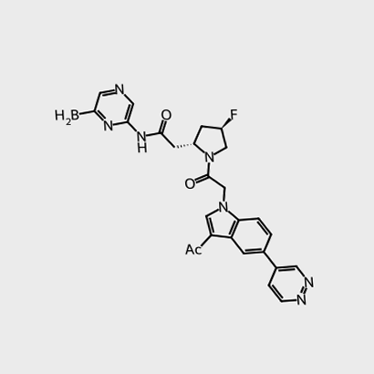 Bc1cncc(NC(=O)C[C@@H]2C[C@@H](F)CN2C(=O)Cn2cc(C(C)=O)c3cc(-c4ccnnc4)ccc32)n1